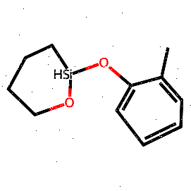 Cc1ccccc1O[SiH]1CCCCO1